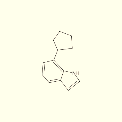 c1cc(C2CCCC2)c2[nH]ccc2c1